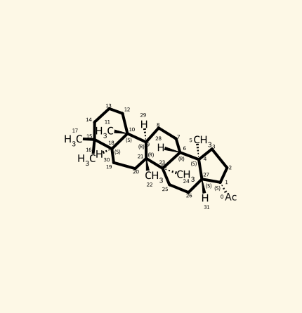 CC(=O)[C@H]1CC[C@]2(C)[C@H]3CC[C@@H]4[C@@]5(C)CCCC(C)(C)[C@@H]5CC[C@@]4(C)[C@]3(C)CC[C@@H]12